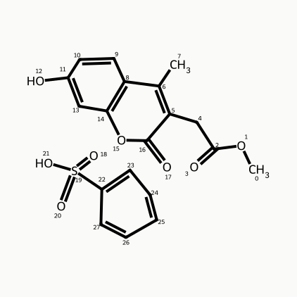 COC(=O)Cc1c(C)c2ccc(O)cc2oc1=O.O=S(=O)(O)c1ccccc1